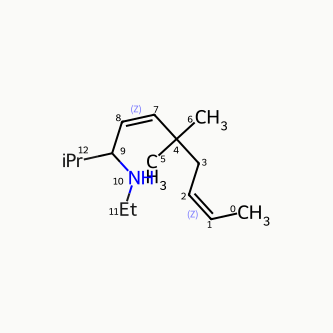 C/C=C\CC(C)(C)/C=C\C(NCC)C(C)C